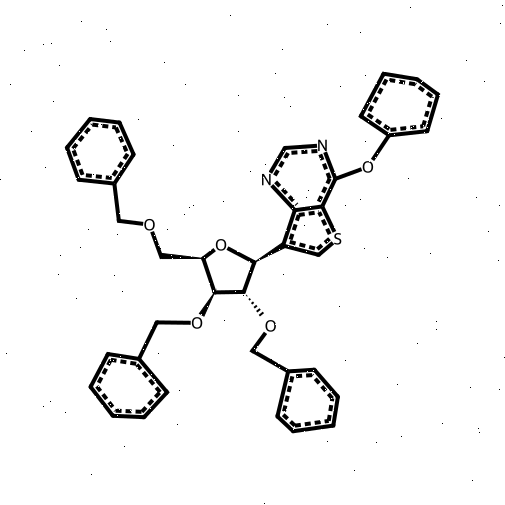 c1ccc(COC[C@H]2O[C@@H](c3csc4c(Oc5ccccc5)ncnc34)[C@H](OCc3ccccc3)[C@H]2OCc2ccccc2)cc1